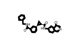 O=C(NCc1ccccc1)c1cccc([C@@H]2C[C@H]2C(=O)Nc2ccc3cncc(Cl)c3c2)c1